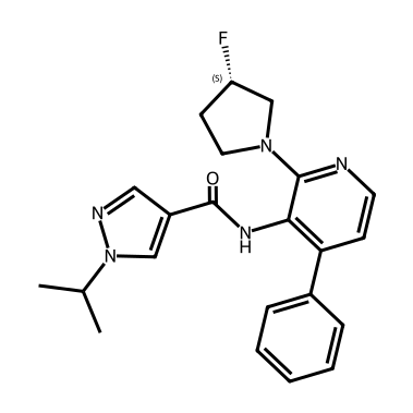 CC(C)n1cc(C(=O)Nc2c(-c3ccccc3)ccnc2N2CC[C@H](F)C2)cn1